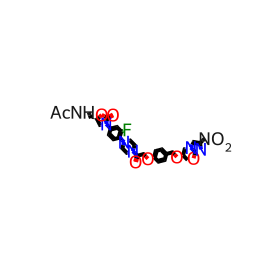 CC(=O)NC[C@H]1CN(c2ccc(N3CCN(C(=O)COc4ccc(COC5COc6nc([N+](=O)[O-])cn6C5)cc4)CC3)c(F)c2)C(=O)O1